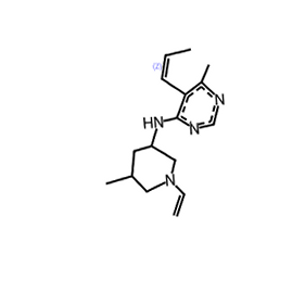 C=CN1CC(C)CC(Nc2ncnc(C)c2/C=C\C)C1